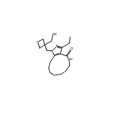 CCc1nn(CC2(CO)COC2)c2c1C(=O)NCCCOCCC2